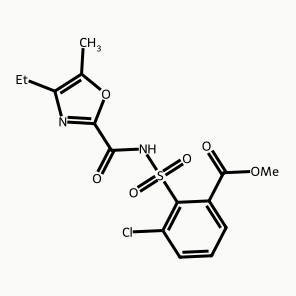 CCc1nc(C(=O)NS(=O)(=O)c2c(Cl)cccc2C(=O)OC)oc1C